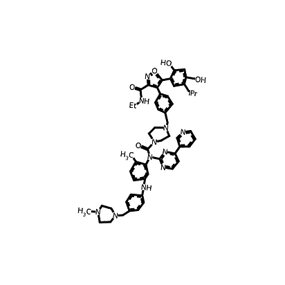 CCNC(=O)c1noc(-c2cc(C(C)C)c(O)cc2O)c1-c1ccc(CN2CCN(C(=O)N(c3nccc(-c4cccnc4)n3)c3cc(Nc4ccc(CN5CCN(C)CC5)cc4)ccc3C)CC2)cc1